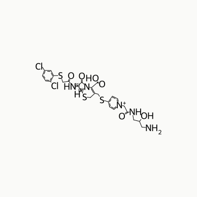 NCC(O)CNC(=O)C[n+]1ccc(SCC2=C(C(=O)O)N3C(=O)[C@H](NC(=O)CSc4cc(Cl)ccc4Cl)[C@H]3SC2)cc1